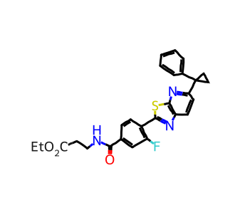 CCOC(=O)CCNC(=O)c1ccc(-c2nc3ccc(C4(c5ccccc5)CC4)nc3s2)c(F)c1